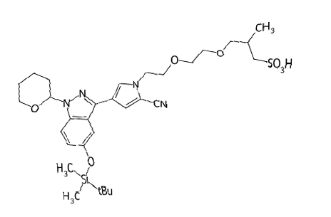 CC(COCCOCCn1cc(-c2nn(C3CCCCO3)c3ccc(O[Si](C)(C)C(C)(C)C)cc23)cc1C#N)CS(=O)(=O)O